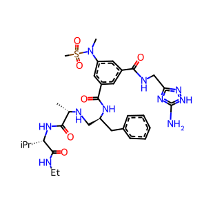 CCNC(=O)[C@@H](NC(=O)[C@H](C)NC[C@H](Cc1ccccc1)NC(=O)c1cc(C(=O)NCc2n[nH]c(N)n2)cc(N(C)S(C)(=O)=O)c1)C(C)C